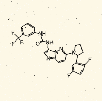 O=C(Nc1cccc(C(F)(F)F)c1)Nc1cnc2ccc(N3CCCC3c3cc(F)ccc3F)nn12